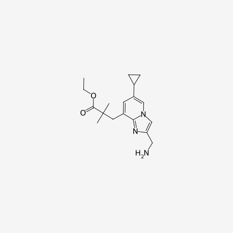 CCOC(=O)C(C)(C)Cc1cc(C2CC2)cn2cc(CN)nc12